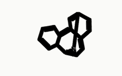 C1=CC2=c3cc4ccc3=CC=C(N4)C2C=C1